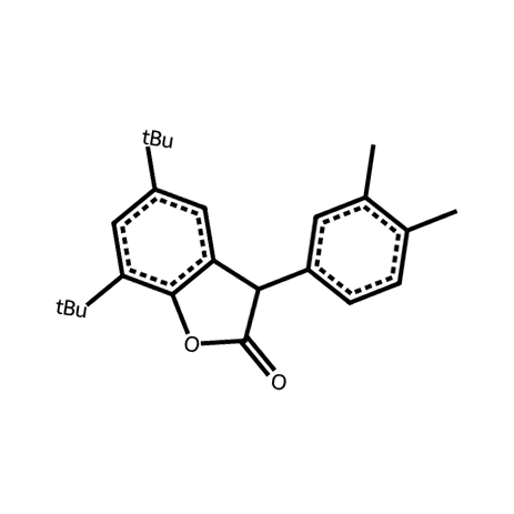 Cc1ccc(C2C(=O)Oc3c2cc(C(C)(C)C)cc3C(C)(C)C)cc1C